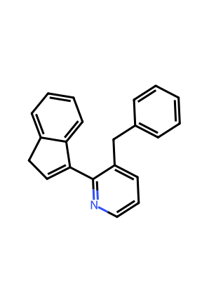 C1=C(c2ncccc2Cc2ccccc2)c2ccccc2C1